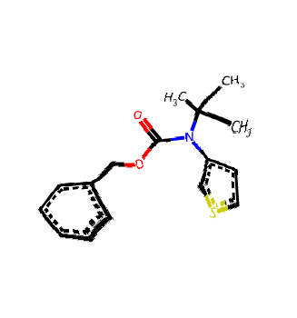 CC(C)(C)N(C(=O)OCc1ccccc1)c1ccsc1